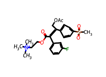 CC(=O)OCC(=C(C(=O)OCC[N+](C)(C)C)c1cccc(F)c1)c1ccc(S(C)(=O)=O)cc1